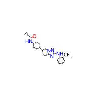 O=C(Nc1ccc(-c2ccc3nc(Nc4ccccc4C(F)(F)F)nn3c2)cc1)C1CC1